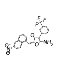 NC1=C(c2cccc(C(F)(F)F)c2)C(=O)/C(=C\c2cccc3cc([N+](=O)[O-])ccc23)O1